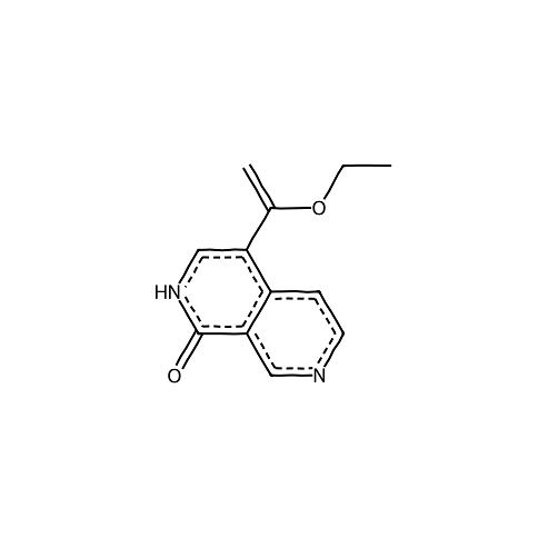 C=C(OCC)c1c[nH]c(=O)c2cnccc12